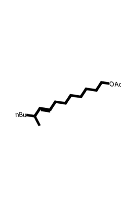 CCCCC(C)C=CCCCCCCCOC(C)=O